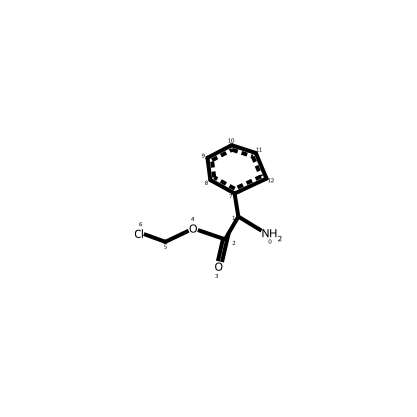 NC(C(=O)OCCl)c1ccccc1